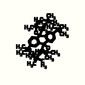 C[Si](C)(C)C#CC1(O[Si](C)(C)C)c2cc[c]([Sn]([CH3])([CH3])[CH3])cc2C(C#C[Si](C)(C)C)(O[Si](C)(C)C)c2cc[c]([Sn]([CH3])([CH3])[CH3])cc21